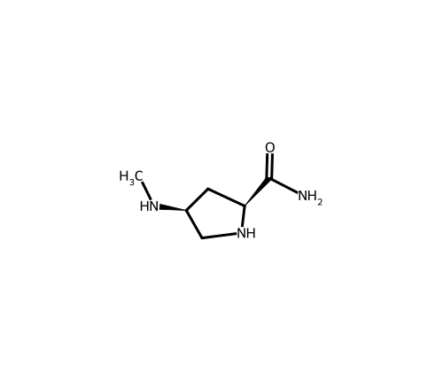 CN[C@@H]1CN[C@H](C(N)=O)C1